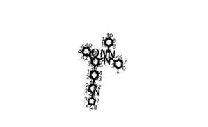 c1ccc(-c2nc(-c3ccccc3)nc(-c3cc(-c4ccc(-c5ccc(C6CCCC6)nc5)cc4)cc4c3oc3ccccc34)n2)cc1